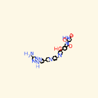 NCc1cnc(Nc2ccc(C3CCN(c4ccc(CN5CCC(O)(c6ccc7c(c6)CN(C6CCC(=O)NC6=O)C7=O)CC5)cc4)CC3)cn2)nc1